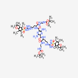 Cc1c(C)c(S(=O)(=O)NC(=N)NCCCC(NC(=O)c2nc(N)c(C(=O)N[C@@H](CCCNC(=N)NS(=O)(=O)c3c(C)c(C)c4c(c3C)CC(C)(C)O4)C(=O)NCCNC(=O)OC(C)(C)C)nc2N)C(=O)NCCNC(=O)OC(C)(C)C)c(C)c2c1OC(C)(C)C2